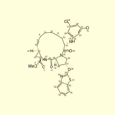 COC(=O)[C@@]12C[C@H]1/C=C\CCCCC[C@H](Nc1cc(Cl)cc(Cl)c1)C(=O)N1C[C@H](Oc3nc4ccccc4s3)C[C@H]1C(=O)N2